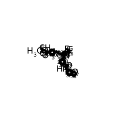 CC(C)(C)OC(=O)c1ccc(COc2cc(C(F)(F)F)nn2-c2cccc(C(=O)Nc3ccc4c(c3)OCC4)c2)cc1